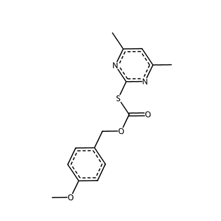 COc1ccc(COC(=O)Sc2nc(C)cc(C)n2)cc1